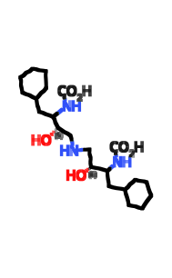 O=C(O)NC(CC1CCCCC1)[C@H](O)CNC[C@H](O)C(CC1CCCCC1)NC(=O)O